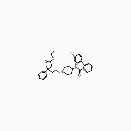 CCOC(=O)CC(C)(CCCN1CCC(NC(=O)c2ccccc2-c2ccc(F)cc2)CC1)c1ccccc1